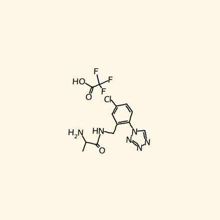 CC(N)C(=O)NCc1cc(Cl)ccc1-n1cnnn1.O=C(O)C(F)(F)F